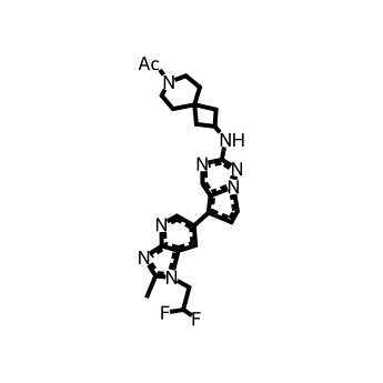 CC(=O)N1CCC2(CC1)CC(Nc1ncc3c(-c4cnc5nc(C)n(CC(F)F)c5c4)ccn3n1)C2